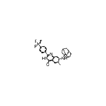 Cc1cc2c(=O)[nH]c(-c3ccc(C(F)(F)F)cc3)nc2cc1NC12CC3CC(CC(C3)C1)C2